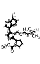 CC(C)(C)OC(=O)N1CCCC1c1ncc(-c2csc3c(I)csc23)n1COCC[Si](C)(C)C